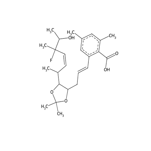 Cc1cc(C)c(C(=O)O)c(/C=C/CC2OC(C)(C)OC2C(C)/C=C\C(C)(F)C(C)O)c1